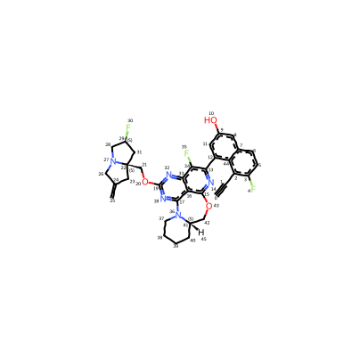 C#Cc1c(F)ccc2cc(O)cc(-c3nc4c5c(nc(OC[C@@]67CC(=C)CN6C[C@@H](F)C7)nc5c3F)N3CCCC[C@H]3CO4)c12